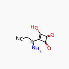 N#CC[C@H](N)c1c(O)c(=O)c1=O